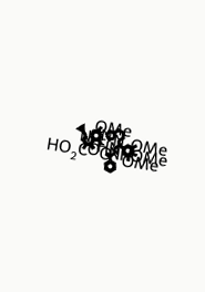 COc1cc(C(NNC(=O)c2ccccc2)N2CCCC3CN(c4c(OC)cc5c(c4F)c(=O)c(C(=O)O)cn5C4CC4)CC32)cc(OC)c1OC